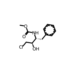 COC(=O)N[C@H](Cc1ccccc1)[C@@H](O)CCl